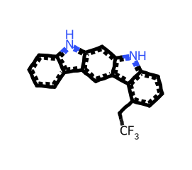 FC(F)(F)Cc1cccc2[nH]c3cc4[nH]c5ccccc5c4cc3c12